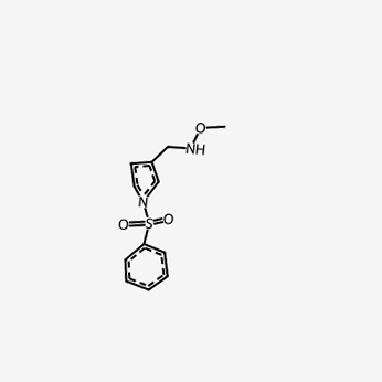 CONCc1ccn(S(=O)(=O)c2ccccc2)c1